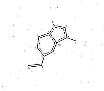 C=Cc1ccc2scc(C)c2c1